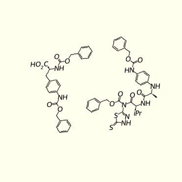 CC(C)[C@H](NC(=O)[C@H](C)Nc1ccc(NC(=O)OCc2ccccc2)cc1)C(=O)N(C(=O)OCc1ccccc1)c1n[nH]c(=S)s1.O=C(Nc1ccc(C[C@H](NC(=O)OCc2ccccc2)C(=O)O)cc1)OCc1ccccc1